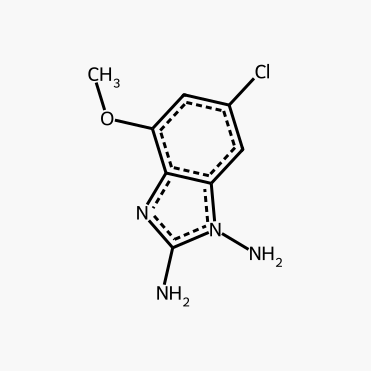 COc1cc(Cl)cc2c1nc(N)n2N